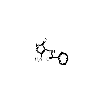 NC1=C(NC(=O)c2ccccc2)C(=O)N=N1